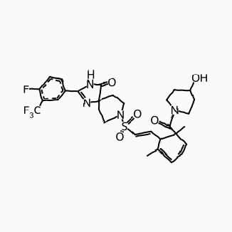 CC1=CC=CC(C)(C(=O)N2CCC(O)CC2)C1C=CS(=O)(=O)N1CCC2(CC1)N=C(c1ccc(F)c(C(F)(F)F)c1)NC2=O